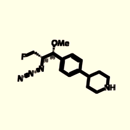 CO[C@H](c1ccc(C2CCNCC2)cc1)[C@@H](CF)N=[N+]=[N-]